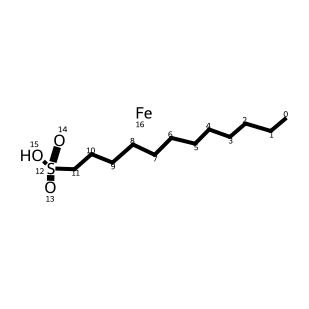 CCCCCCCCCCCCS(=O)(=O)O.[Fe]